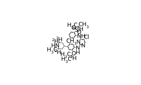 [2H]C1([2H])CC(c2cc(OC([2H])(C)C)c(Nc3ncc(Cl)c(Nc4ccccc4S(=O)(=O)C([2H])(C)C)n3)cc2C)CC([2H])(C)N1